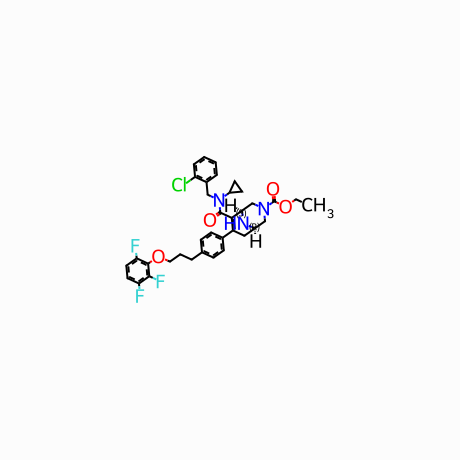 CCOC(=O)N1C[C@H]2CC(c3ccc(CCCOc4c(F)ccc(F)c4F)cc3)=C(C(=O)N(Cc3ccccc3Cl)C3CC3)[C@@H](C1)N2